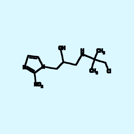 CC(C)(CCl)NCC(O)Cn1ccnc1[N+](=O)[O-]